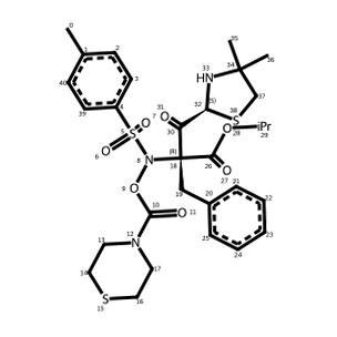 Cc1ccc(S(=O)(=O)N(OC(=O)N2CCSCC2)[C@@](Cc2ccccc2)(C(=O)OC(C)C)C(=O)[C@H]2NC(C)(C)CS2)cc1